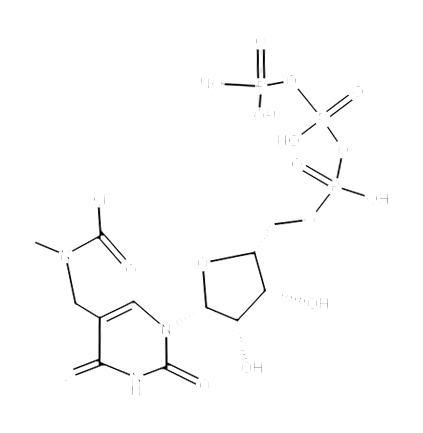 CN(Cc1cn([C@@H]2O[C@H](COP(=O)(O)OP(=O)(O)OP(=O)(O)O)[C@H](O)[C@@H]2O)c(=O)[nH]c1=O)C(=O)C(F)(F)F